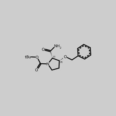 CC(C)(C)OC(=O)N1CC[C@@H](OCc2ccccc2)[C@H]1C(N)=O